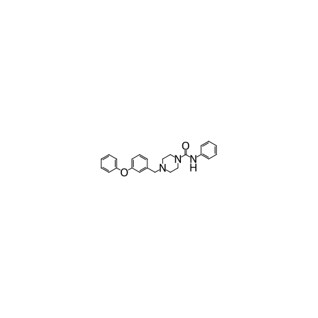 O=C(Nc1ccccc1)N1CCN(Cc2cccc(Oc3ccccc3)c2)CC1